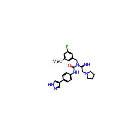 COc1cc(F)cc(CN(C(=N)CN2CCCC2)C(=O)Nc2ccc(-c3cn[nH]c3)cc2)c1